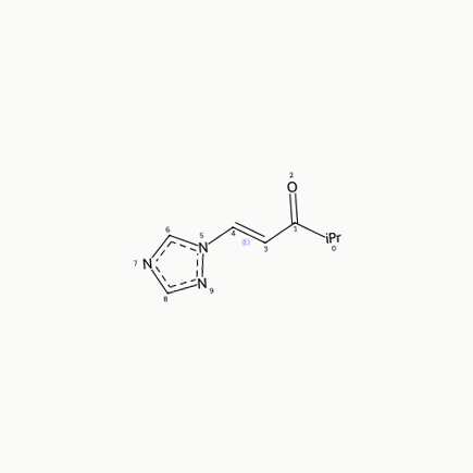 CC(C)C(=O)/C=C/n1cncn1